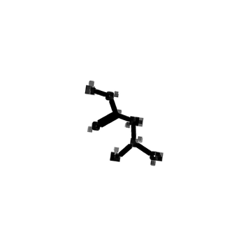 CCOC(=O)NN(C#N)CC